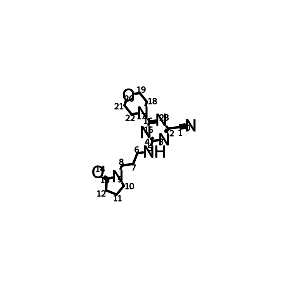 N#Cc1nc(NCCCN2CCCC2=O)nc(N2CCOCC2)n1